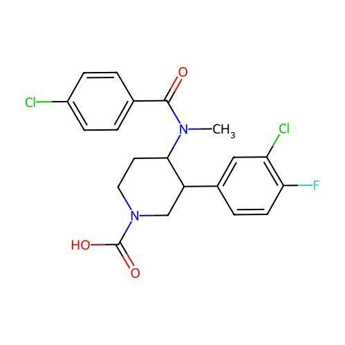 CN(C(=O)c1ccc(Cl)cc1)C1CCN(C(=O)O)CC1c1ccc(F)c(Cl)c1